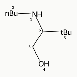 [CH2-][CH+]CCNC(CO)C(C)(C)C